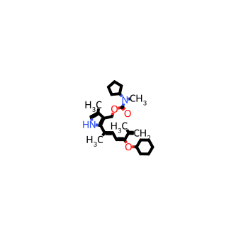 C=C(C)/C(=C\C=C(/C)c1[nH]cc(C)c1COC(=O)N(C)C1CCCC1)OC1CCCCC1